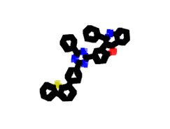 c1ccc(-c2nc(-c3ccc(-c4cccc5c4sc4ccccc45)cc3)nc(-c3ccc4oc5c6ccccc6nc(-c6ccccc6)c5c4c3)n2)cc1